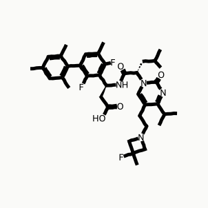 Cc1cc(C)c(-c2cc(C)c(F)c([C@H](CC(=O)O)NC(=O)[C@H](CC(C)C)n3cc(CCN4CC(C)(F)C4)c(C(C)C)nc3=O)c2F)c(C)c1